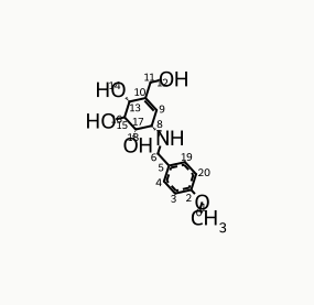 COc1ccc(CN[C@H]2C=C(CO)[C@@H](O)C(O)[C@H]2O)cc1